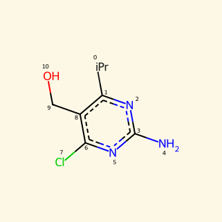 CC(C)c1nc(N)nc(Cl)c1CO